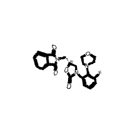 O=C1c2ccccc2C(=O)N1C[C@@H]1CN(c2cccc(F)c2N2CCOCC2)C(=O)O1